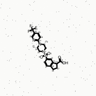 C[C@@H]1CN(S(=O)(=O)c2ccc3c(c2)C(C(=O)O)CC3)C[C@H](C)N1c1ccc(C(F)(F)F)cn1